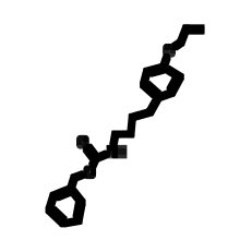 C=CCOc1ccc(CCCCNC(=O)OCc2ccccc2)cc1